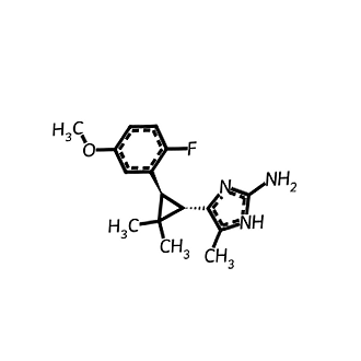 COc1ccc(F)c([C@H]2[C@H](c3nc(N)[nH]c3C)C2(C)C)c1